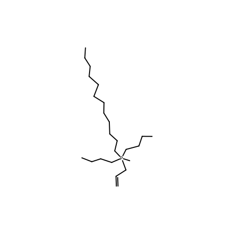 C=CCP(C)(CCCC)(CCCC)CCCCCCCCCCCC